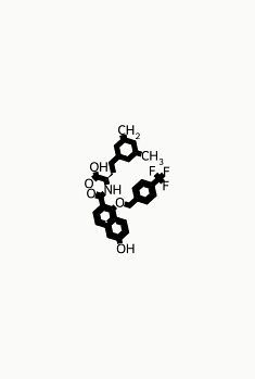 C=C1CC(C)CC(CC[C@H](NC(=O)c2ccc3cc(O)ccc3c2OCc2ccc(C(F)(F)F)cc2)C(=O)O)C1